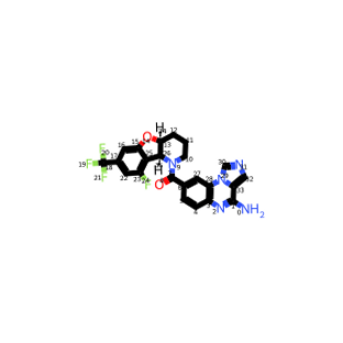 Nc1nc2ccc(C(=O)N3CCC[C@@H]4Oc5cc(C(F)(F)F)cc(F)c5[C@@H]43)cc2n2cncc12